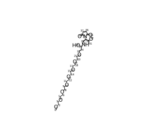 COCCOCCOCCOCCOCCOCCOCCOCCC(O)NCC(C(C)=O)N1C(=O)C=CC1=O